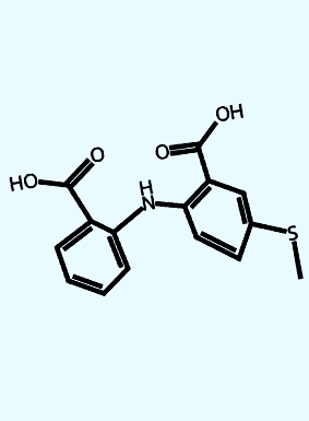 CSc1ccc(Nc2ccccc2C(=O)O)c(C(=O)O)c1